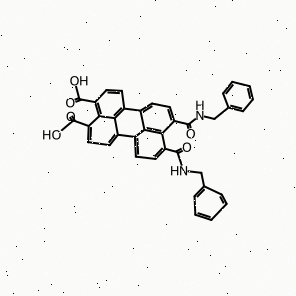 O=C(O)c1ccc2c3ccc(C(=O)NCc4ccccc4)c4c(C(=O)NCc5ccccc5)ccc(c5ccc(C(=O)O)c1c25)c43